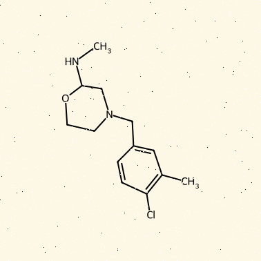 CNC1CN(Cc2ccc(Cl)c(C)c2)CCO1